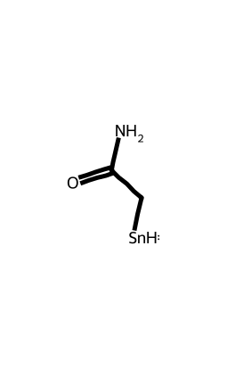 NC(=O)[CH2][SnH]